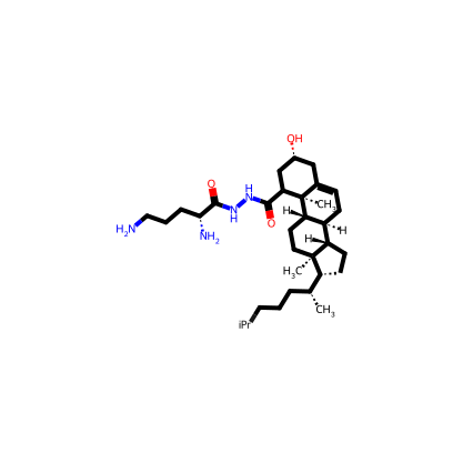 CC(C)CCC[C@@H](C)[C@H]1CC[C@H]2[C@@H]3CC=C4C[C@@H](O)CC(C(=O)NNC(=O)[C@H](N)CCCN)[C@]4(C)[C@H]3CC[C@]12C